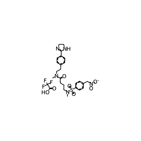 CN(CCc1ccc(C2=NCCN2)cc1)C(=O)CCCN(C)S(=O)(=O)c1ccc(C[N+](=O)[O-])cc1.O=C(O)C(F)(F)F